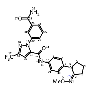 CO/N=C1/CCCN1c1ccc(NC(=O)c2cc(C(F)(F)F)nn2-c2cccc(C(N)=O)c2)cc1